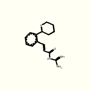 N=C(N)NC(=O)/C=C/c1ccccc1C1CCCCS1